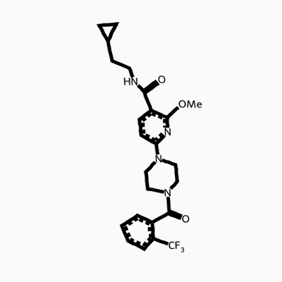 COc1nc(N2CCN(C(=O)c3ccccc3C(F)(F)F)CC2)ccc1C(=O)NCCC1CC1